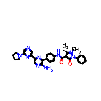 Cc1c(C(=O)Nc2ccc(-c3nc(-c4cncc(N5CCCC5)n4)cnc3N)cc2)c(=O)n(-c2ccccc2)n1C